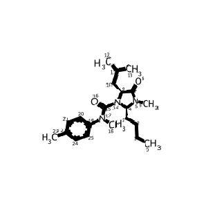 CCCC[C@@H]1N(C)C(=O)[C@H](CC(C)C)N1C(=O)N(C)c1ccc(C)cc1